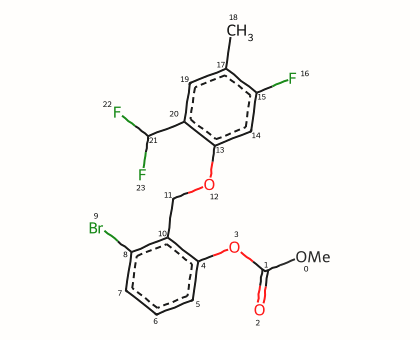 COC(=O)Oc1cccc(Br)c1COc1cc(F)c(C)cc1C(F)F